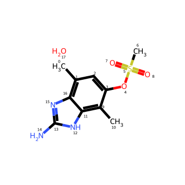 Cc1cc(OS(C)(=O)=O)c(C)c2[nH]c(N)nc12.O